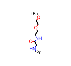 CC(C)NCC(=O)NCCOCCOC(C)(C)C